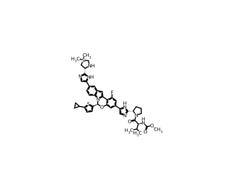 COC(=O)N[C@H](C(=O)N1CCC[C@H]1c1ncc(-c2cc(F)c3c(c2)O[C@@H](c2ccc(C4CC4)s2)n2c-3cc3cc(-c4cnc([C@@H]5C[Si](C)(C)CN5)[nH]4)ccc32)[nH]1)C(C)C